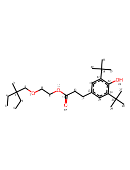 CCC(C)(CC)COCCOC(=O)CCc1cc(C(C)(C)C)c(O)c(C(C)(C)C)c1